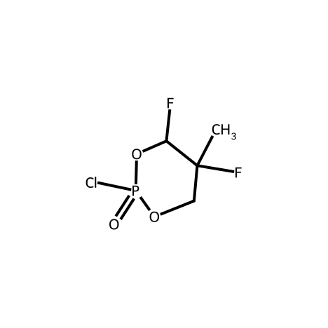 CC1(F)COP(=O)(Cl)OC1F